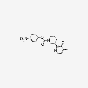 Cc1ccnn([C@@H]2CCCN(C(=O)Oc3ccc([N+](=O)[O-])cc3)C2)c1=O